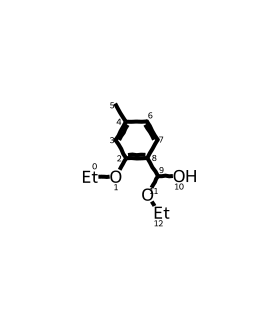 CCOc1cc(C)ccc1C(O)OCC